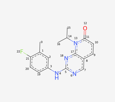 Cc1cc(Nc2ncc3ccc(=O)n(C(C)C)c3n2)ccc1F